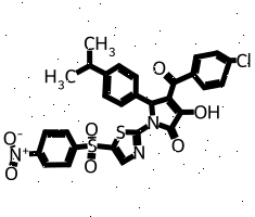 CC(C)c1ccc(C2C(C(=O)c3ccc(Cl)cc3)=C(O)C(=O)N2c2ncc(S(=O)(=O)c3ccc([N+](=O)[O-])cc3)s2)cc1